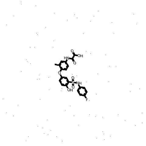 Cc1cc(NC(=O)C(=O)O)ccc1Oc1ccc(O)c(S(=O)(=O)Nc2ccc(F)cc2)c1